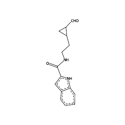 O=CC1CC1CCNC(=O)c1cc2ccccc2[nH]1